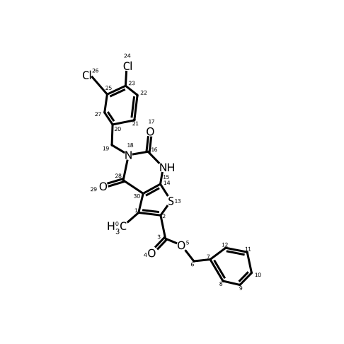 Cc1c(C(=O)OCc2ccccc2)sc2[nH]c(=O)n(Cc3ccc(Cl)c(Cl)c3)c(=O)c12